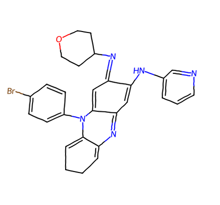 Brc1ccc(-n2c3c/c(=N\C4CCOCC4)c(Nc4cccnc4)cc-3nc3c2=CCCC=3)cc1